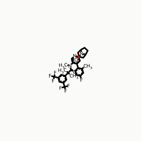 Cc1cc(F)ccc1-c1cc(N2C3CCC2CC(O)C3)ncc1N(C)C(=O)C(C)(C)c1cc(C(F)(F)F)cc(C(F)(F)F)c1